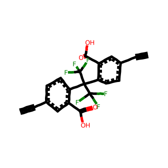 C#Cc1ccc(C(c2ccc(C#C)cc2C(=O)O)(C(F)(F)F)C(F)(F)F)c(C(=O)O)c1